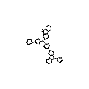 CC1(C)C2=C(CCC=C2)c2ccc(N(c3ccc(-c4ccccc4)cc3)c3ccc(-c4ccc5c(c4)C4=CC=CCC4N5c4ccccc4)cc3)cc21